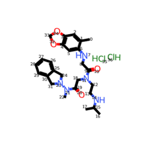 Cc1cc2c(cc1NCC(=O)N(CCNC(C)C)CC(=O)N(C)N1Cc3ccccc3C1)OCO2.Cl.Cl